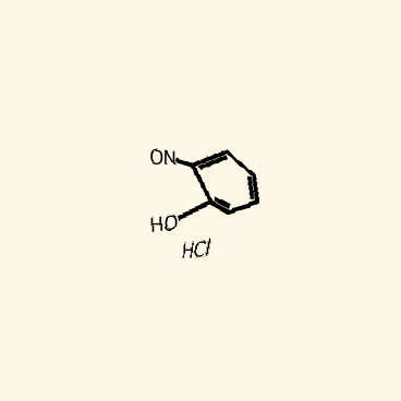 Cl.O=Nc1ccccc1O